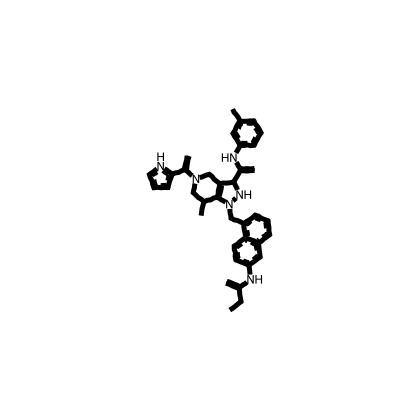 C=C(CC)Nc1ccc2c(CN3NC(C(=C)Nc4cccc(C)c4)C4=C3C(C)CN(C(=C)c3ccc[nH]3)C4)cccc2c1